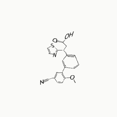 COc1ccc(C#N)cc1-c1cccc(C(CC(=O)O)c2nccs2)c1